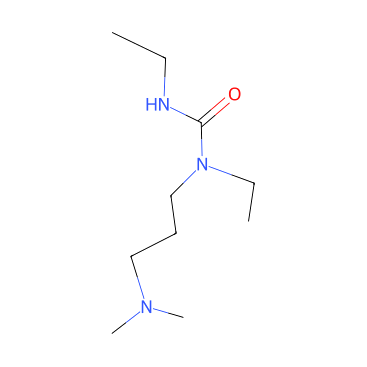 CCNC(=O)N(CC)CCCN(C)C